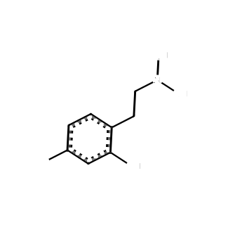 Cc1cc(F)ccc1CCN(C)C